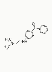 CN(C)CCNc1ccc(C(=O)c2ccccc2)cc1